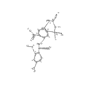 COc1ccc(C(=O)Nc2cc3c(cc2[N+](=O)[O-])NC(=O)OC3(C)C)c(OC)c1